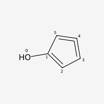 OC1=CC=C=C1